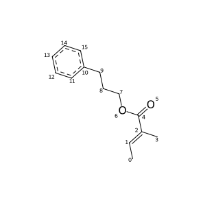 CC=C(C)C(=O)OCCCc1ccccc1